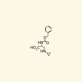 O=C(NC(CNC1CC1)C(=O)O)OCc1ccccc1